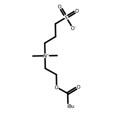 CCC(C)C(=O)OCC[N+](C)(C)CCCS(=O)(=O)[O-]